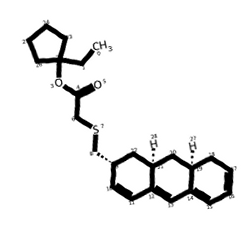 CCC1(OC(=O)CSC[C@H]2C=CC3=CC4=CC=CC[C@@H]4C[C@@H]3C2)CCCC1